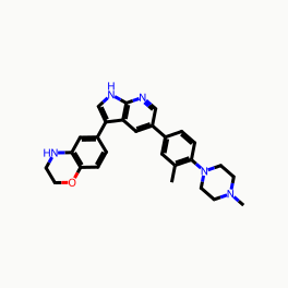 Cc1cc(-c2cnc3[nH]cc(-c4ccc5c(c4)NCCO5)c3c2)ccc1N1CCN(C)CC1